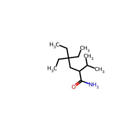 CCC(CC)(CC)CC(C(N)=O)C(C)C